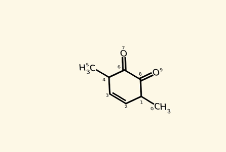 CC1C=CC(C)C(=O)C1=O